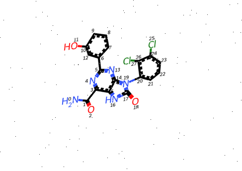 NC(=O)c1nc(-c2cccc(O)c2)nc2c1[nH]c(=O)n2-c1cccc(Cl)c1Cl